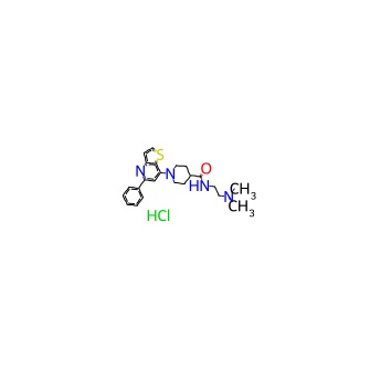 CN(C)CCNC(=O)C1CCN(c2cc(-c3ccccc3)nc3ccsc23)CC1.Cl